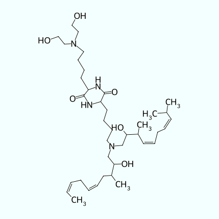 C/C=C\C/C=C\CC(C)C(O)CN(CCCCC1NC(=O)C(CCCCN(CCO)CCO)NC1=O)CC(O)C(C)/C=C\C/C=C\C(C)C